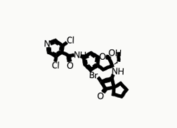 CC[C@@](Cc1ccc(NC(=O)c2c(Cl)cncc2Cl)cc1)(NC1=C(Br)C(=O)C12CCCC2)C(=O)O